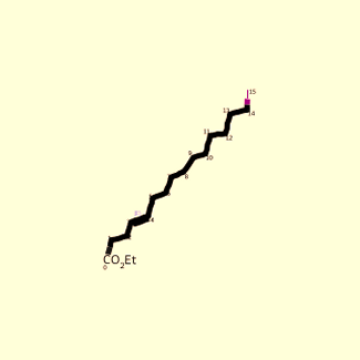 CCOC(=O)CC/C=C/CCCCCCCCCCI